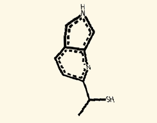 CC(S)c1ccc2c[nH]cc2n1